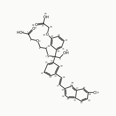 O=C(O)COCCSC(CO)(c1cccc(C=Cc2ccc3ccc(Cl)cc3n2)c1)c1cccc(OCC(=O)O)c1